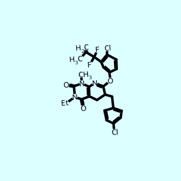 C=C(C)C(F)(F)c1cc(OC2=Nc3c(c(=O)n(CC)c(=O)n3C)CC2Cc2ccc(Cl)cc2)ccc1Cl